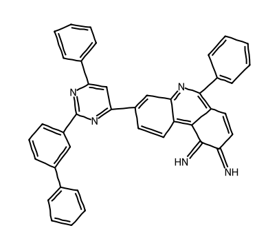 N=C1C=Cc2c(-c3ccccc3)nc3cc(-c4cc(-c5ccccc5)nc(-c5cccc(-c6ccccc6)c5)n4)ccc3c2C1=N